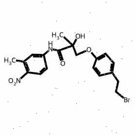 Cc1cc(NC(=O)C(C)(O)COc2ccc(CCBr)cc2)ccc1[N+](=O)[O-]